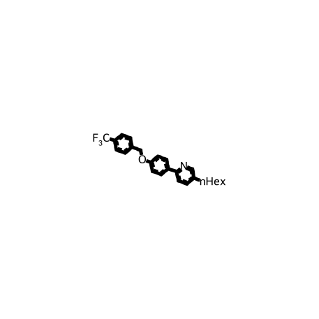 CCCCCCc1ccc(-c2ccc(OCc3ccc(C(F)(F)F)cc3)cc2)nc1